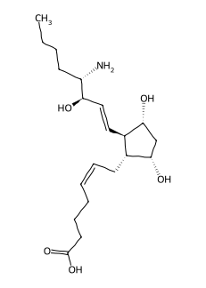 CCCC[C@H](N)[C@H](O)/C=C/[C@@H]1[C@@H](C/C=C\CCCC(=O)O)[C@@H](O)C[C@H]1O